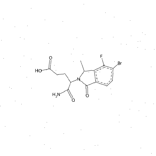 CC1c2c(ccc(Br)c2F)C(=O)N1C(CCC(=O)O)C(N)=O